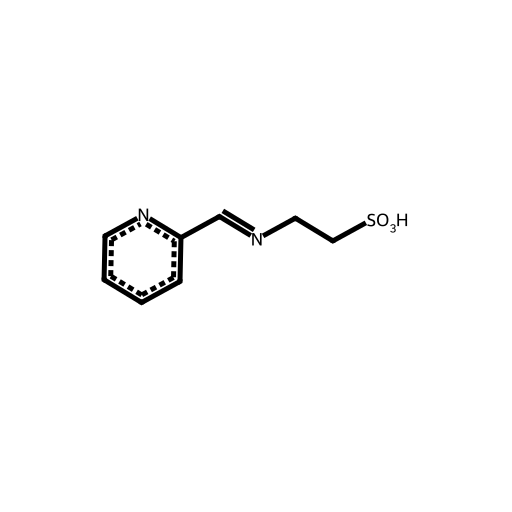 O=S(=O)(O)CCN=Cc1ccccn1